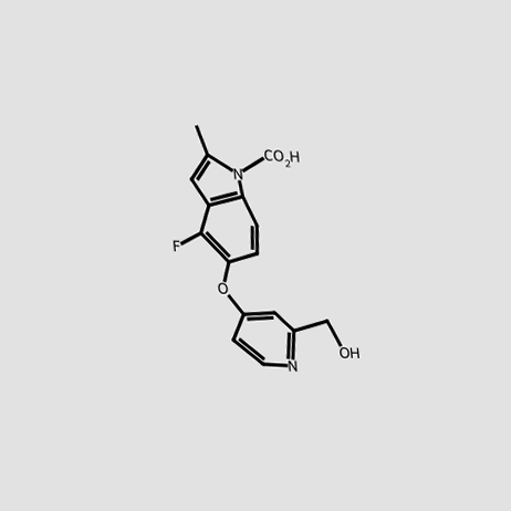 Cc1cc2c(F)c(Oc3ccnc(CO)c3)ccc2n1C(=O)O